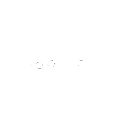 C=Cc1ccc(-c2ccc(C3CCC(OCC4=CCC(C5CO5)C(F)=C4F)CC3)c(F)c2F)cc1